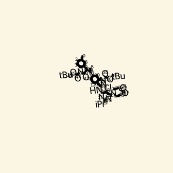 Cc1ccc2c(c1)[C@]1(C[C@H]1c1ccc3c(Nc4nc(C(C)C)nc(N5CCS(=O)(=O)CC5)c4Cl)nn(C(=O)OC(C)(C)C)c3c1)C(=O)N2C(=O)OC(C)(C)C